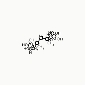 Cc1cc(-c2cncc(-c3ccc(O[C@H]4O[C@H](CO)[C@@H](O)[C@H](O)[C@]4(C)O)c(C)c3)c2)ccc1O[C@H]1O[C@H](CO)[C@@H](O)[C@H](O)[C@]1(C)O